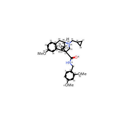 COc1ccc(CNC(=O)C2C[C@]34CCN(CC5CC5)[C@H](Cc5ccc(OC)cc53)[C@]4(OC(C)=O)C2)c(OC)c1